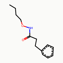 CCCCONC(=O)CCc1ccccc1